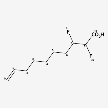 C=CCCCCCC(F)C(F)C(=O)O